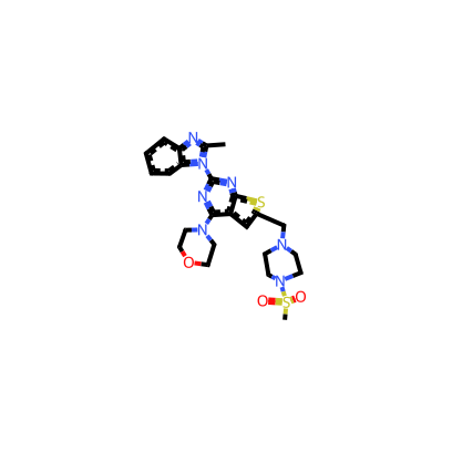 Cc1nc2ccccc2n1-c1nc(N2CCOCC2)c2cc(CN3CCN(S(C)(=O)=O)CC3)sc2n1